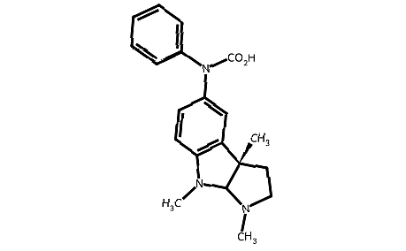 CN1CC[C@@]2(C)c3cc(N(C(=O)O)c4ccccc4)ccc3N(C)C12